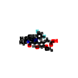 COc1cc2c(cc1[C@H]1C[C@@H]1C(=O)O)-c1c(c(C(=O)N(C)C(C)(C)C)nn1-c1cc(F)cc(F)c1)CO2